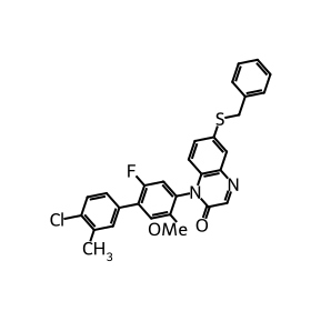 COc1cc(-c2ccc(Cl)c(C)c2)c(F)cc1-n1c(=O)cnc2cc(SCc3ccccc3)ccc21